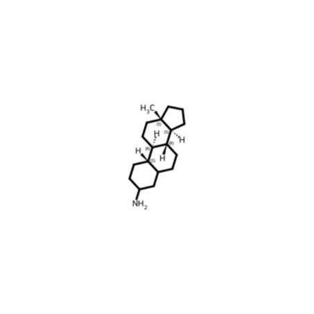 C[C@@]12CCC[C@H]1[C@@H]1CCC3CC(N)CC[C@@H]3[C@H]1CC2